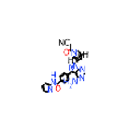 N#CCC(=O)N1C[C@@H]2C[C@@H]1[C@@H](n1nc(-c3ccc(C(=O)Nc4ccccn4)cc3)c3c(N)ncnc31)C2